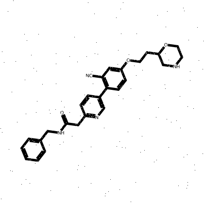 N#Cc1cc(OCCC2CNCCO2)ccc1-c1ccc(CC(=O)NCc2ccccc2)nc1